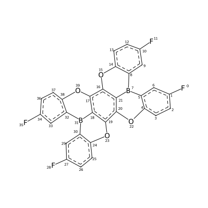 Fc1ccc2c(c1)B1c3cc(F)ccc3Oc3c4c5c(c(c31)O2)Oc1ccc(F)cc1B5c1cc(F)ccc1O4